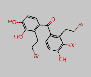 O=C(c1ccc(O)c(O)c1CCBr)c1ccc(O)c(O)c1CCBr